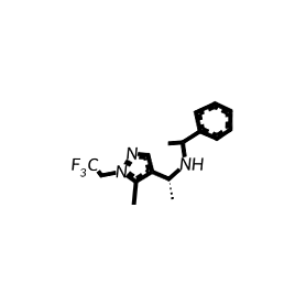 Cc1c([C@@H](C)NC(C)c2ccccc2)cnn1CC(F)(F)F